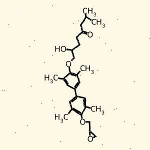 Cc1cc(-c2cc(C)c(OCC3CO3)c(C)c2)cc(C)c1OCC(O)CCC(=O)CC(C)C